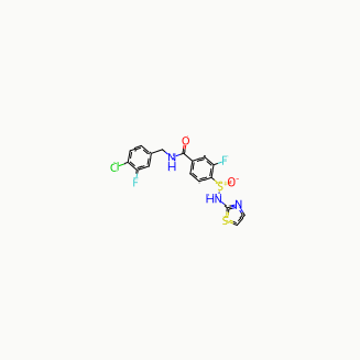 O=C(NCc1ccc(Cl)c(F)c1)c1ccc([S+]([O-])Nc2nccs2)c(F)c1